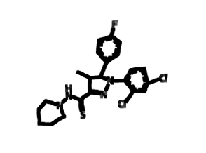 CC1C(C(=S)NN2CCCCC2)=NN(c2ccc(Cl)cc2Cl)C1c1ccc(F)cc1